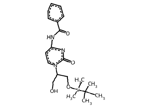 CC(C)(C)[Si](C)(C)OCC(CO)n1ccc(NC(=O)c2ccccc2)nc1=O